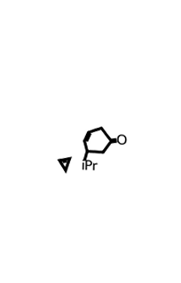 C1=CC1.CC(C)C1C=CCC(=O)C1